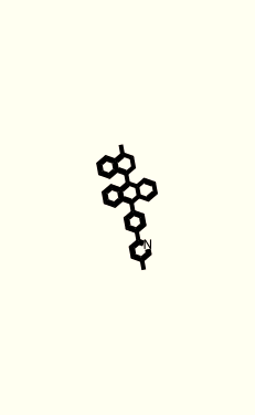 CC1=c2ccccc2=C(C2=c3ccccc3=C(c3ccc(-c4ccc(C)cn4)cc3)C3C=CC=CC23)CC1